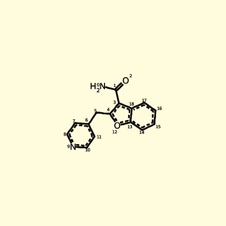 NC(=O)c1c(Cc2ccncc2)oc2ccccc12